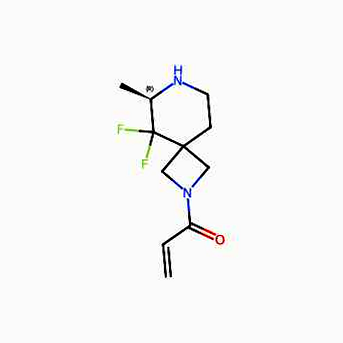 C=CC(=O)N1CC2(CCN[C@H](C)C2(F)F)C1